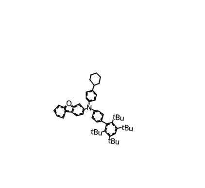 CC(C)(C)c1cc(C(C)(C)C)c(C(C)(C)C)c(-c2ccc(N(c3ccc(C4CCCCC4)cc3)c3ccc4c(c3)oc3ccccc34)cc2)c1C(C)(C)C